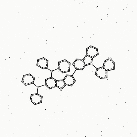 c1ccc(N(c2ccccc2)c2cc(N(c3ccccc3)c3ccccc3)c3c(c2)sc2ccc(-c4ccc5c6ccccc6n(-c6cccc7ccncc67)c5c4)cc23)cc1